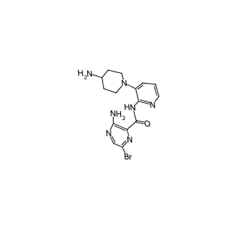 Nc1ncc(Br)nc1C(=O)Nc1ncccc1N1CCC(N)CC1